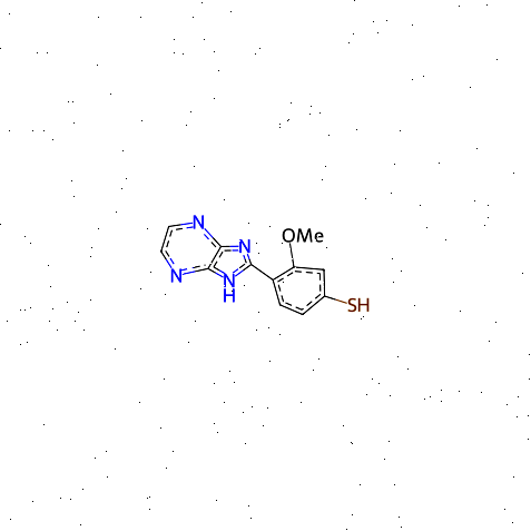 COc1cc(S)ccc1-c1nc2nccnc2[nH]1